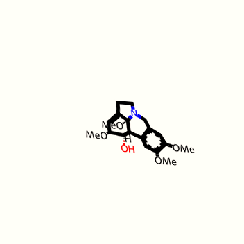 COc1cc2c(cc1OC)[C@@H]1[C@H](O)[C@@H](OC)C=C3CCN(C2)[C@]31OC